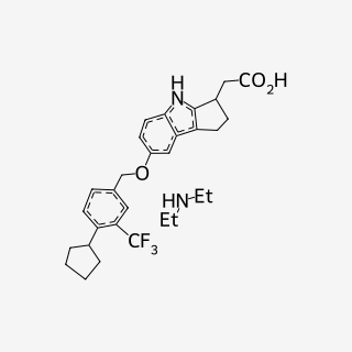 CCNCC.O=C(O)CC1CCc2c1[nH]c1ccc(OCc3ccc(C4CCCC4)c(C(F)(F)F)c3)cc21